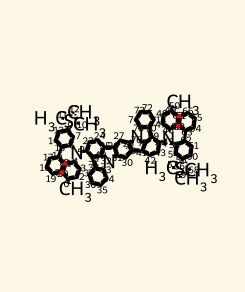 Cc1ccc(N(c2cc([Si](C)(C)C)ccc2-c2ccccc2)c2ccc3c4cc5c(cc4n4c6ccccc6c2c34)c2ccc(N(c3ccc(C)cc3)c3cc([Si](C)(C)C)ccc3-c3ccccc3)c3c4ccccc4n5c23)cc1